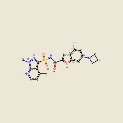 Cc1ccnc2c1c(S(=O)(=O)NC(=O)c1cc3c(F)cc(N4CCC4)cc3o1)nn2C